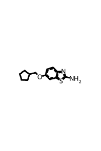 Nc1nc2ccc(OCC3CCCC3)cc2s1